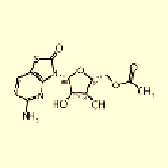 CC(=O)OC[C@H]1O[C@@H](n2c(=O)sc3cnc(N)nc32)[C@H](O)[C@@H]1O